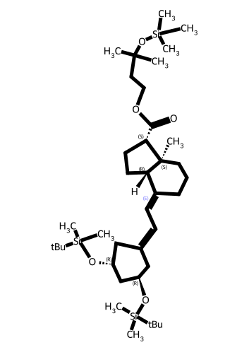 CC(C)(CCOC(=O)[C@H]1CC[C@H]2/C(=C/C=C3C[C@@H](O[Si](C)(C)C(C)(C)C)C[C@H](O[Si](C)(C)C(C)(C)C)C3)CCC[C@]12C)O[Si](C)(C)C